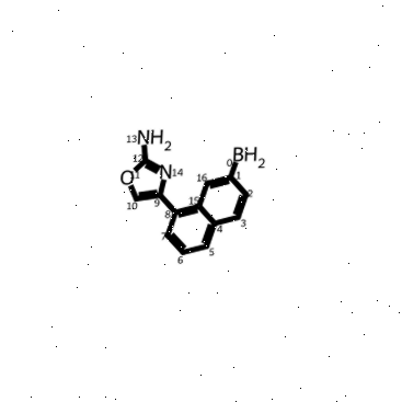 Bc1ccc2cccc(-c3coc(N)n3)c2c1